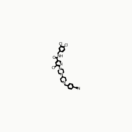 N#Cc1ccc(CN2CCC(N3CCN(c4ncc(C(=O)NCc5ccc(Cl)c(Cl)c5)cc4Cl)CC3)CC2)cc1